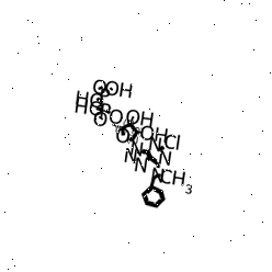 CN(Cc1ccccc1)c1nc(Cl)nc2c1nnn2[C@@H]1O[C@H](COP(=O)(O)CP(=O)(O)O)[C@@H](O)[C@H]1O